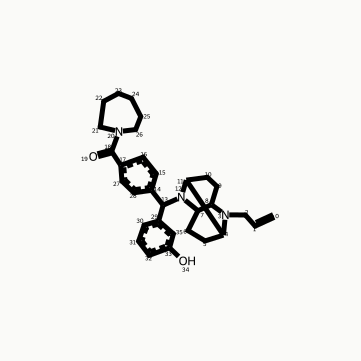 C=CCN1C2CCC3C1CCC2N3C(c1ccc(C(=O)N2CCCCCC2)cc1)c1cccc(O)c1